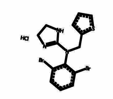 Brc1cccc(Br)c1N(Cc1cccs1)C1=NCCN1.Cl